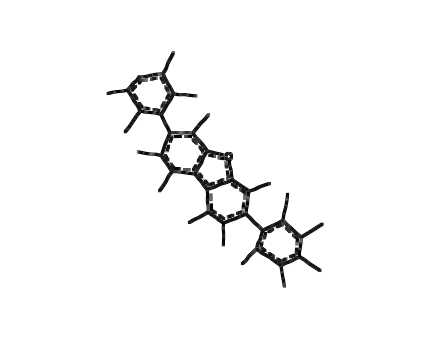 Cc1cc(C)c(C)c(-c2c(C)c(C)c3c(oc4c(C)c(-c5c(C)c(C)c(C)c(C)c5C)c(C)c(C)c43)c2C)c1C